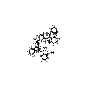 CN1CCc2[nH]c(-c3ccnc(C(F)(F)C[C@H](CNC(=O)c4ccccc4O)c4ccccc4)c3)c(Nc3ccccc3)c2C1=O